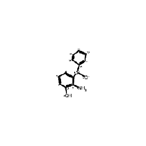 Nc1c(O)cccc1[S+]([O-])c1ccccc1